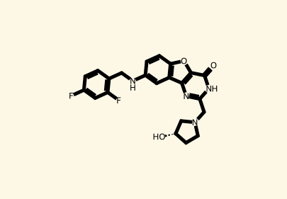 O=c1[nH]c(CN2CC[C@H](O)C2)nc2c1oc1ccc(NCc3ccc(F)cc3F)cc12